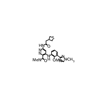 CNC(=O)c1nnc(NC(=O)CC2CSC2)cc1Nc1cccc(-c2ncn(C)n2)c1OC